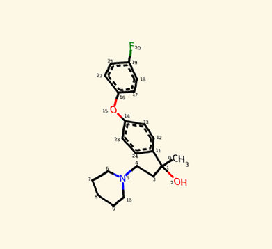 CC(O)(CCN1CCCCC1)c1ccc(Oc2ccc(F)cc2)cc1